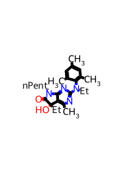 CCCCCN1C(=O)C(O)(CC)c2c(C)nc(N(CC)c3c(C)cc(C)cc3C)nc21